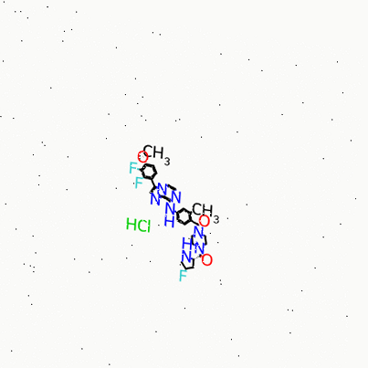 COc1ccc(-c2cnc3c(Nc4ccc(C(=O)N5CCN(C(=O)[C@@H]6C[C@H](F)CN6)CC5)c(C)c4)nccn23)c(F)c1F.Cl